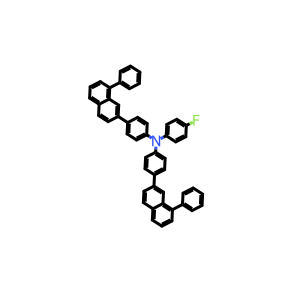 Fc1ccc(N(c2ccc(-c3ccc4cccc(-c5ccccc5)c4c3)cc2)c2ccc(-c3ccc4cccc(-c5ccccc5)c4c3)cc2)cc1